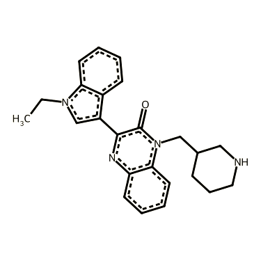 CCn1cc(-c2nc3ccccc3n(CC3CCCNC3)c2=O)c2ccccc21